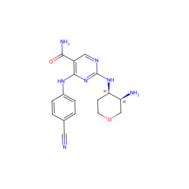 N#Cc1ccc(Nc2nc(N[C@@H]3CCOC[C@@H]3N)ncc2C(N)=O)cc1